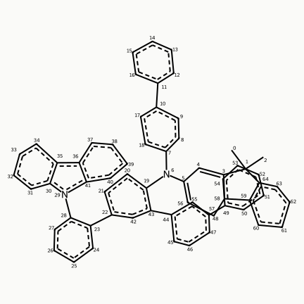 CC1(C)C2=CC(N(c3ccc(-c4ccccc4)cc3)c3ccc(-c4ccccc4-n4c5ccccc5c5ccccc54)cc3-c3cccc(-c4ccccc4)c3)=CCC2c2ccccc21